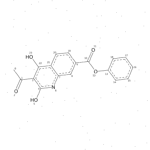 CC(=O)c1c(O)nc2cc(C(=O)Oc3ccccc3)ccc2c1O